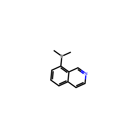 CB(C)c1cccc2ccncc12